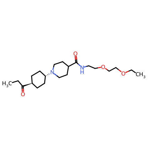 CCOCCOCCNC(=O)C1CCN([C@H]2CC[C@H](C(=O)CC)CC2)CC1